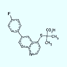 CC(C)(Sc1ccnc2ccc(-c3ccc(F)cc3)cc12)C(=O)O